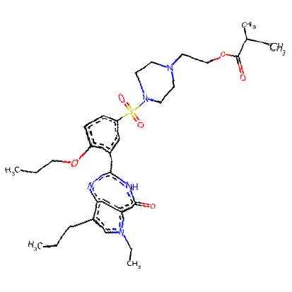 CCCOc1ccc(S(=O)(=O)N2CCN(CCOC(=O)C(C)C)CC2)cc1-c1nc2c(CCC)cn(CC)c2c(=O)[nH]1